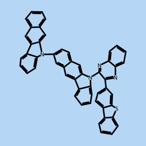 c1ccc2cc3c(cc2c1)c1ccccc1n3-c1ccc2cc3c(cc2c1)c1ccccc1n3-c1nc2ccccc2nc1-c1ccc2c(c1)sc1ccccc12